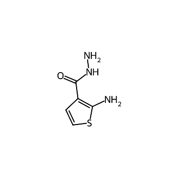 NNC(=O)c1ccsc1N